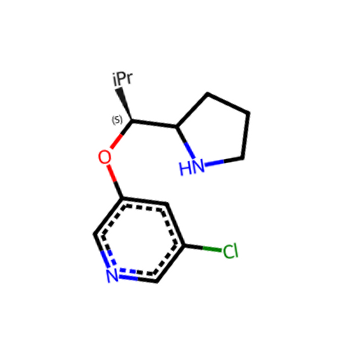 CC(C)[C@H](Oc1cncc(Cl)c1)C1CCCN1